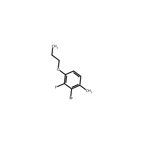 CCCOc1ccc(C)c(Br)c1F